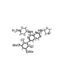 COc1cc(OC)c(Cl)c(-c2cc3cnc(NC4CCOC4)nc3c(NC3CCN(C)CC3)n2)c1Cl